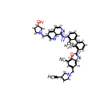 C#CC1CCN(Cc2cc(C#N)c3oc(-c4cccc(-c5cccc(Nc6nccc7cc(CN8CC[C@@H](O)C8)cnc67)c5C)c4C)nc3c2)C1